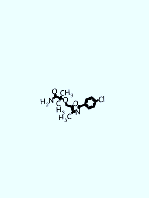 Cc1nc(-c2ccc(Cl)cc2)oc1COC(C)(C)C(N)=O